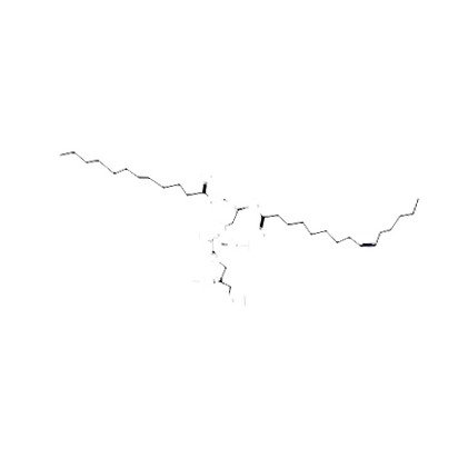 CCCCC/C=C\CCCCCCCC(=O)O[C@H](COC(=O)CCCCCCCCCCC)COP(=O)(O)OC[C@@H](O)CO